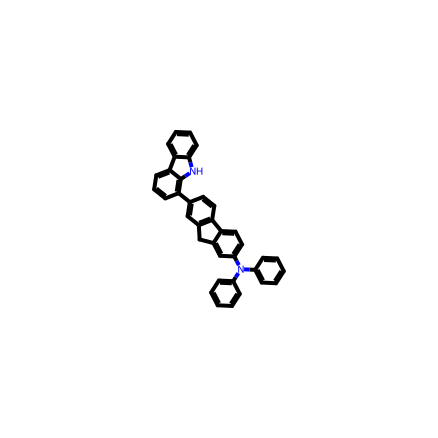 c1ccc(N(c2ccccc2)c2ccc3c(c2)Cc2cc(-c4cccc5c4[nH]c4ccccc45)ccc2-3)cc1